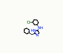 Clc1cccc(Nc2cnc(Cc3ccccc3)[nH]2)c1